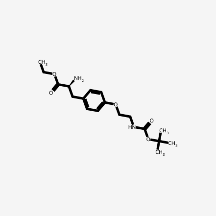 CCOC(=O)[C@@H](N)Cc1ccc(OCCNC(=O)OC(C)(C)C)cc1